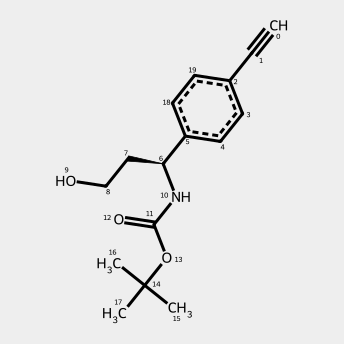 C#Cc1ccc([C@H](CCO)NC(=O)OC(C)(C)C)cc1